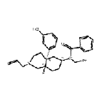 C=CCN1CC[C@@]2(c3cccc(O)c3)C[C@@H](N(CC(C)C)C(=O)c3ccccc3)CC[C@@H]2C1